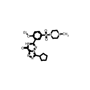 CCOc1ccc(S(=O)(=O)N2CCN(C)CC2)cc1-c1nn2c(C3CCCC3)nnc2c(=O)[nH]1